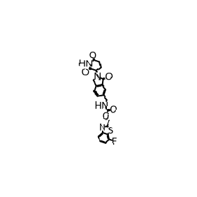 O=C1CCC(N2Cc3ccc(CNC(=O)OCc4nc5cccc(F)c5s4)cc3C2=O)C(=O)N1